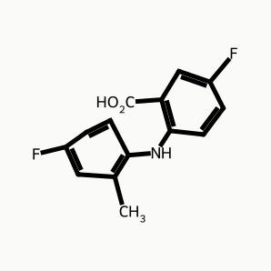 Cc1cc(F)ccc1Nc1ccc(F)cc1C(=O)O